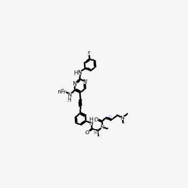 CCCNc1nc(Nc2cccc(F)c2)ncc1C#Cc1cccc(NC(=O)[C@H](C)N(C)C(=O)/C=C/CN(C)C)c1